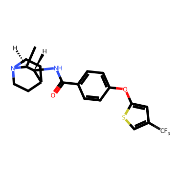 C[C@H]1[C@H](NC(=O)c2ccc(Oc3cc(C(F)(F)F)cs3)cc2)C2CCN1CC2